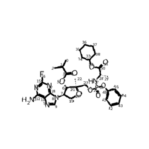 CC(C)C(=O)O[C@H]1[C@H](n2cnc3c(N)nc(F)nc32)CO[C@]1(C)CO[P@@](=O)(N[C@@H](C)C(=O)OC1CCCCC1)Oc1ccccc1